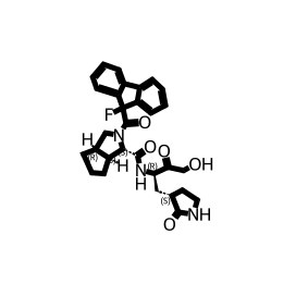 O=C1NCC[C@H]1C[C@@H](NC(=O)[C@@H]1[C@H]2CCC[C@H]2CN1C(=O)C1(F)c2ccccc2-c2ccccc21)C(=O)CO